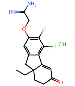 CCC12CCC(=O)C=C1c1c(cc(OCC(=N)N)c(Cl)c1Cl)C2.Cl